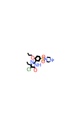 CCCOc1ccc(S(=O)(=O)N2CCN(C)CC2)cc1-c1nc(CC)c(Cl)c(=O)[nH]1